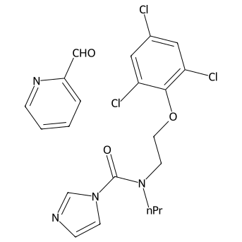 CCCN(CCOc1c(Cl)cc(Cl)cc1Cl)C(=O)n1ccnc1.O=Cc1ccccn1